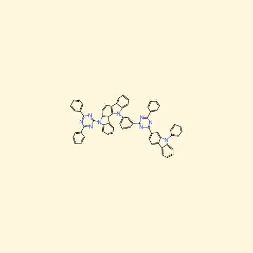 c1ccc(-c2nc(-c3cccc(-n4c5ccccc5c5ccc6c(c7ccccc7n6-c6nc(-c7ccccc7)nc(-c7ccccc7)n6)c54)c3)nc(-c3ccc4c5ccccc5n(-c5ccccc5)c4c3)n2)cc1